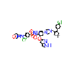 CC1(C)CCC(CN2CCN(c3ccc(C(=O)NS(=O)(=O)c4ccc(NCC5CCOCC5)c(Cl)c4)c(Oc4cnc5[nH]ccc5c4)c3)CC2)=C(c2ccc(Cl)cc2)C1